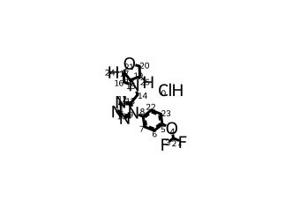 Cl.FC(F)Oc1ccc(-n2nnnc2CN2C[C@@H]3C[C@H]2CO3)cc1